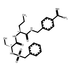 CCC[C@H](NC(=O)[C@@H](CO)NS(=O)(=O)Cc1ccccc1)C(=O)NCc1ccc(C(=N)N)cc1